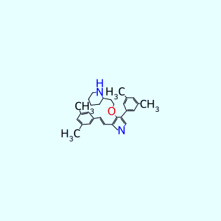 Cc1cc(C)cc(C=Cc2cncc(-c3cc(C)cc(C)c3)c2OCCC2CCCCN2)c1